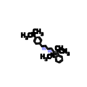 CN(C)c1ccc(/C=C/C=C/C2=[N+](C)c3ccccc3C2(C)C)cc1